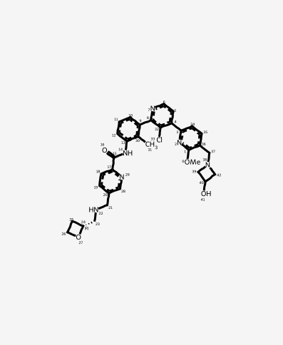 COc1nc(-c2ccnc(-c3cccc(NC(=O)c4ccc(CNC[C@H]5CCO5)cn4)c3C)c2Cl)ccc1CN1CC(O)C1